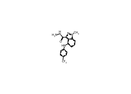 Cn1nc(C(=O)NN)c2c(Nc3ccc(C(F)(F)F)cc3)cccc21